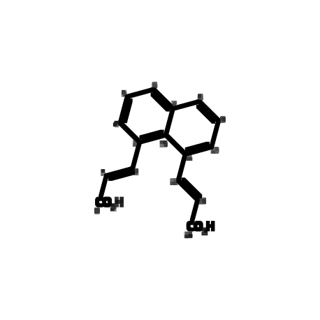 O=C(O)/C=C/c1cccc2cccc(/C=C/C(=O)O)c12